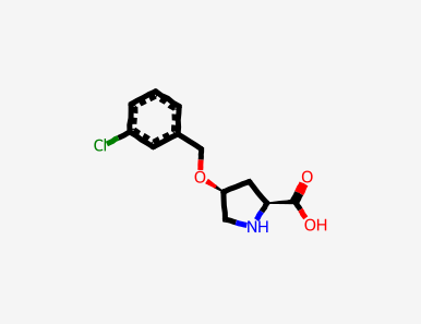 O=C(O)[C@@H]1C[C@H](OCc2cccc(Cl)c2)CN1